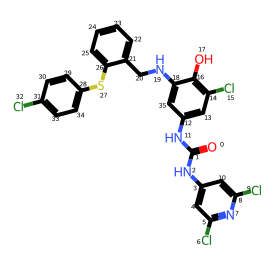 O=C(Nc1cc(Cl)nc(Cl)c1)Nc1cc(Cl)c(O)c(NCc2ccccc2Sc2ccc(Cl)cc2)c1